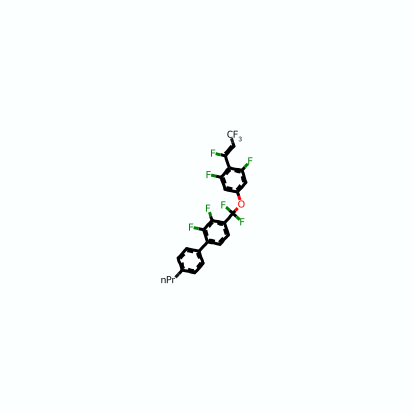 CCCc1ccc(-c2ccc(C(F)(F)Oc3cc(F)c(/C(F)=C/C(F)(F)F)c(F)c3)c(F)c2F)cc1